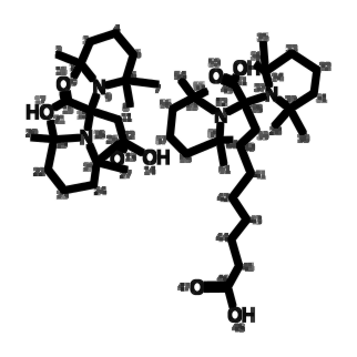 CC1(C)CCCC(C)(C)N1C(CC(=O)O)(C(=O)O)N1C(C)(C)CCCC1(C)C.CC1(C)CCCC(C)(C)N1C(CCCCCCCC(=O)O)(C(=O)O)N1C(C)(C)CCCC1(C)C